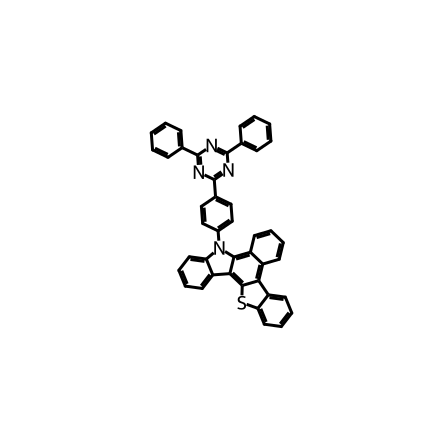 c1ccc(-c2nc(-c3ccccc3)nc(-c3ccc(-n4c5ccccc5c5c6sc7ccccc7c6c6ccccc6c54)cc3)n2)cc1